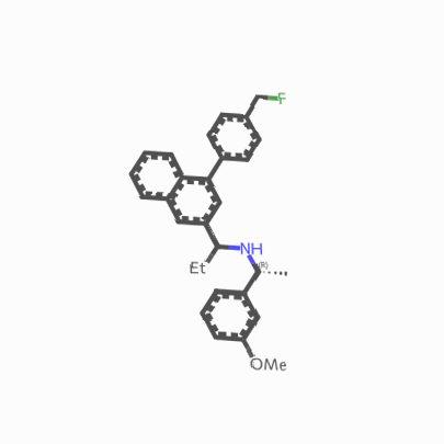 CCC(N[C@H](C)c1cccc(OC)c1)c1cc(-c2ccc(CF)cc2)c2ccccc2c1